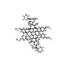 Cc1ccc(Oc2cc3c4c(cc(Oc5ccc(C)cc5C)c5c6c(Oc7ccc(C)cc7C)cc7c8c(cc(Oc9ccc(C)cc9C)c(c2c45)c86)C(=O)N(C(CO)C(=O)NC2CCCCC2)C7=O)C(=O)N(C(CO)C(=O)NC2CCCCC2)C3=O)c(C)c1